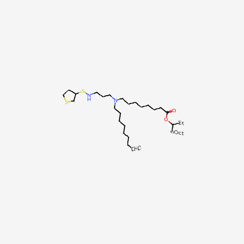 CCCCCCCCC(CC)OC(=O)CCCCCCCN(CCCCCCCC=O)CCCNSC1CCSC1